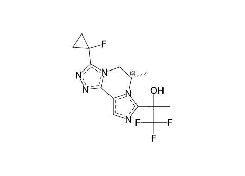 C[C@H]1Cn2c(nnc2C2(F)CC2)-c2cnc(C(C)(O)C(F)(F)F)n21